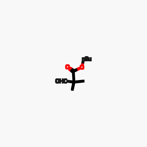 CCCCOC(=O)C(C)(C)C=O